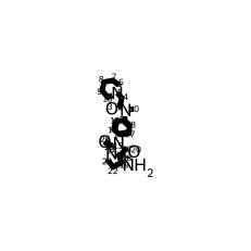 CN(C(=O)CN1CCCCC1)c1ccc(N2C[C@@]3(C(N)=O)[CH]CCN3C2=O)cc1